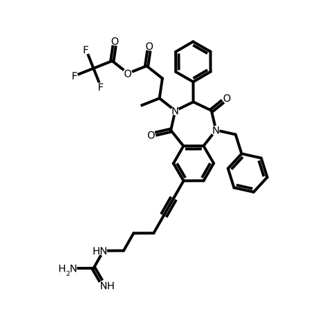 CC(CC(=O)OC(=O)C(F)(F)F)N1C(=O)c2cc(C#CCCCNC(=N)N)ccc2N(Cc2ccccc2)C(=O)C1c1ccccc1